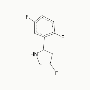 Fc1ccc(F)c(C2CC(F)CN2)c1